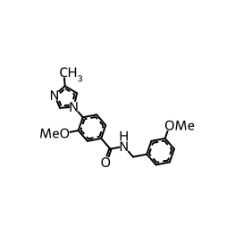 COc1cccc(CNC(=O)c2ccc(-n3cnc(C)c3)c(OC)c2)c1